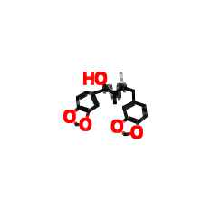 C[C@H]([C@H](C)Cc1ccc2c(c1)OCO2)[C@H](O)c1ccc2c(c1)OCO2